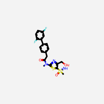 CN(C(=O)Cc1ccc(-c2cc(F)ccc2F)cc1)c1nc(CO)c(S(C)(=N)=O)s1